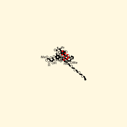 C#CCOCCOCCOCCOCCNC(=O)CCC(=O)Nc1ccc(OC2OC(C(=O)OC)C(O)C(O)C2O)c(COC(=O)N(C)[C@H](C(=O)N[C@H](C(=O)N(C)[C@@H]([C@@H](C)CC)[C@@H](CC(=O)N2CCC[C@H]2[C@H](OC)[C@@H](C)C(=O)N[C@H](C)[C@@H](O)c2ccccc2)OC)C(C)C)C(C)C)c1